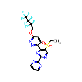 CCS(=O)(=O)c1cnc(-c2ncccn2)nc1-c1ccc(OCC(F)(F)C(F)(F)C(F)(F)F)nn1